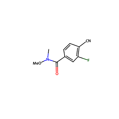 CON(C)C(=O)c1ccc(C#N)c(F)c1